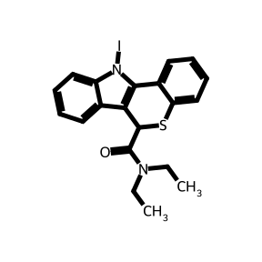 CCN(CC)C(=O)C1Sc2ccccc2-c2c1c1ccccc1n2I